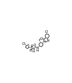 O=C(Nc1ccc(-n2cnc3ccc(Cl)cc3c2=O)c(F)c1)NS(=O)(=O)c1ccc(Cl)s1